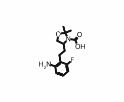 CC1(C)OCC(CCc2c(N)cccc2F)N1C(=O)O